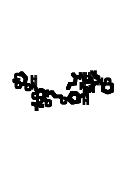 CCCC(C)Nc1nc(Nc2ccc(OCCCN(CC(=O)NOC3CCCCO3)C(=O)OC(C)(C)C)cc2)nc2c1ncn2C1CCCCO1